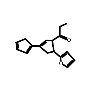 CCC(=O)C1C=C(C2=CC=CC2)CC1c1ccco1